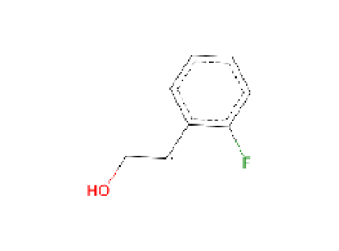 OC[CH]c1ccccc1F